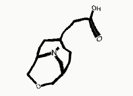 CN1C2COCC1CC(CC(=O)O)C2